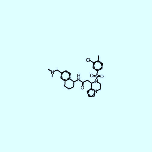 Cc1ccc(S(=O)(=O)N2CCn3cccc3C2CC(=O)NC2CCCc3cc(CN(C)C)ccc32)cc1Cl